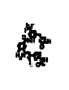 CC(=O)Nc1ncc(/C(N)=C/N(N)c2cc(C(=O)Nc3cc(CN4CNC(=O)C4)cc(C(F)(F)F)c3)ccc2C)s1